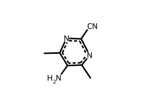 Cc1nc(C#N)nc(C)c1N